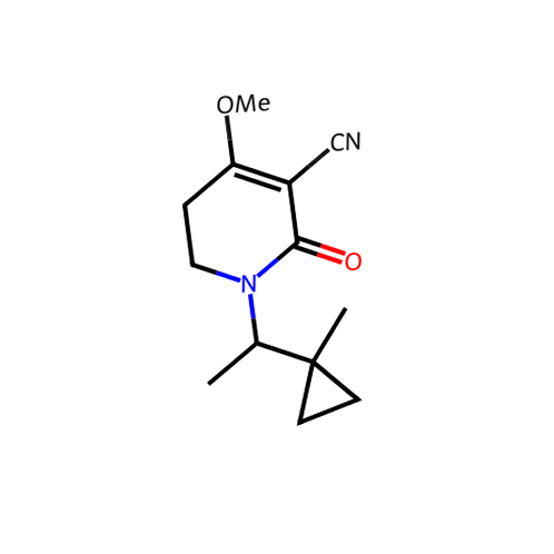 COC1=C(C#N)C(=O)N(C(C)C2(C)CC2)CC1